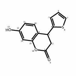 O=C1CC(c2cccs2)c2ccc(O)cc2O1